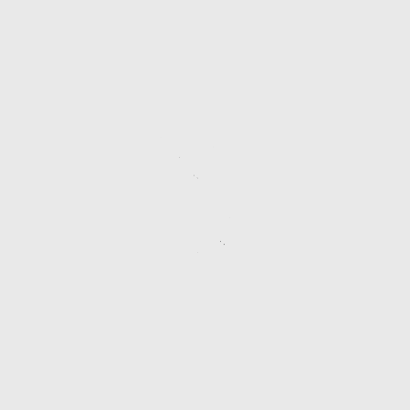 CC(C)(C)N1CCC2(CCCN2C2CCC2)CC1